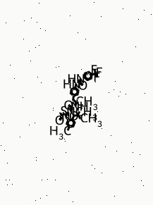 CCC(C)Oc1ccc(C)cc1N1C(=O)CSC1=NC(=O)NC(C)Cc1ccc(NC(=O)Nc2ccc(C(F)(F)F)cc2)cc1